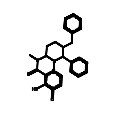 CN1C(=O)c2c(O)c(=O)ccn2N2C(c3ccccc3)C(Cc3ccccc3)CCC12